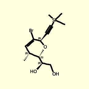 C[C@@H]1C=C(Br)[C@@H](C#C[Si](C)(C)C)O[C@@H]1[C@H](O)CO